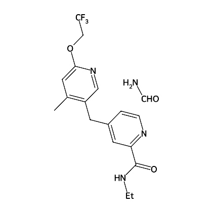 CCNC(=O)c1cc(Cc2cnc(OCC(F)(F)F)cc2C)ccn1.NC=O